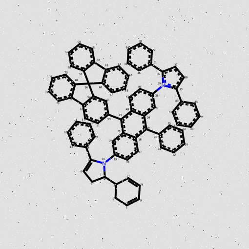 C1=CCC(C2CC=C(c3ccccc3)N2c2ccc3c(-c4ccccc4)c4cc(-n5c(-c6ccccc6)ccc5-c5ccccc5)ccc4c(-c4ccc5c(c4)C4(c6ccccc6-c6ccccc64)c4ccccc4-5)c3c2)C=C1